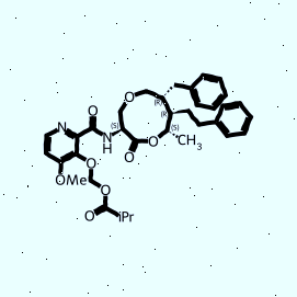 COc1ccnc(C(=O)N[C@H]2COC[C@H](Cc3ccccc3)[C@@H](CCc3ccccc3)[C@H](C)OC2=O)c1OCOC(=O)C(C)C